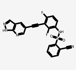 N#Cc1ccccc1S(=O)(=O)Nc1ccc(F)c(C#Cc2cnc3[nH]ncc3c2)c1F